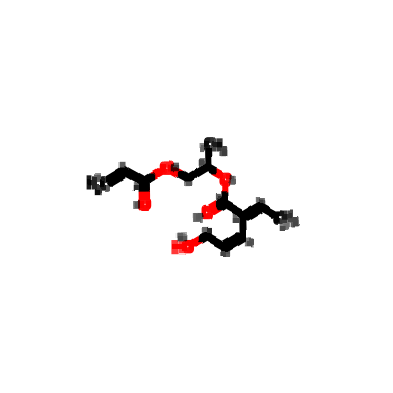 C=CC(=O)OCC(C)OC(=O)C(/C=C\CO)=C/C